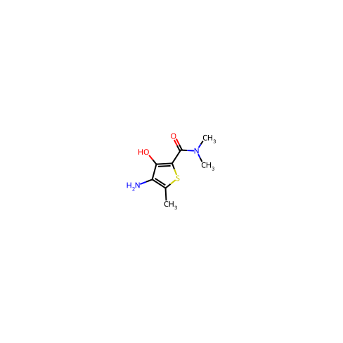 Cc1sc(C(=O)N(C)C)c(O)c1N